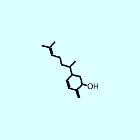 C=C1C=CC(C(C)CCC=C(C)C)CC1O